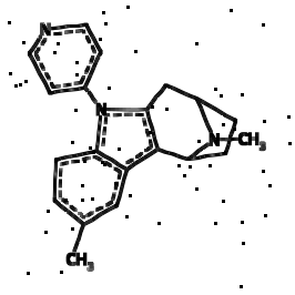 Cc1ccc2c(c1)c1c(n2-c2ccncc2)CC2CCC1N2C